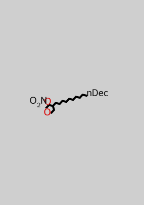 CCCCCCCCCCCCCCCCCCCCC1CCOCC1O[N+](=O)[O-]